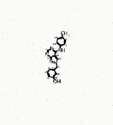 Cc1ccc(Nc2ncnc3nn(Cc4cccc(O)c4)cc23)cc1